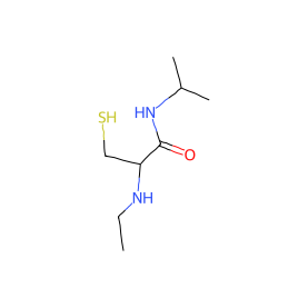 CCNC(CS)C(=O)NC(C)C